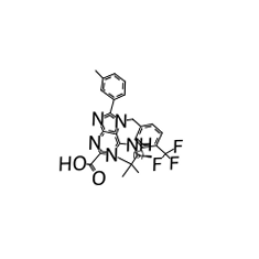 Cc1cccc(-c2nc3nc(C(=O)O)nc(N[C@@H](C)C(C)(C)C)c3n2Cc2ccc(C(F)(F)F)cc2)c1